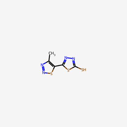 Cc1nnsc1-c1nnc(S)s1